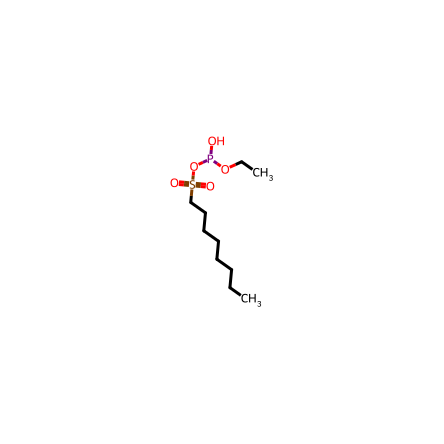 CCCCCCCCS(=O)(=O)OP(O)OCC